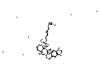 NCCCCCCS(=O)(=O)N1CCC[C@@H]2CN3CCc4cc5c(cc4[C@@H]3C[C@@H]21)OCO5